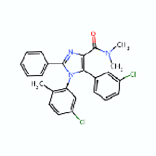 Cc1ccc(Cl)cc1-n1c(-c2ccccc2)nc(C(=O)N(C)C)c1-c1cccc(Cl)c1